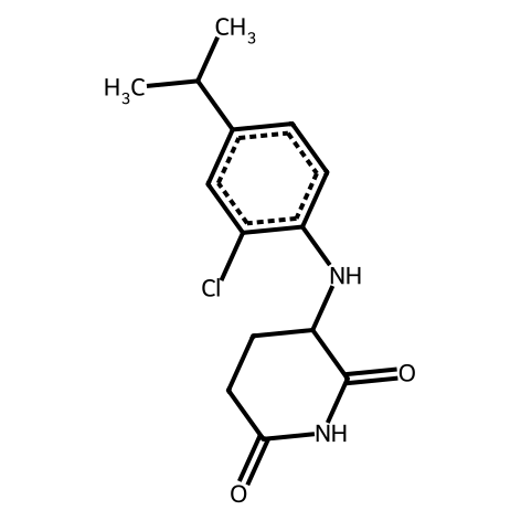 CC(C)c1ccc(NC2CCC(=O)NC2=O)c(Cl)c1